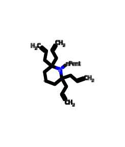 C=CCC1(CC=C)C[CH]CC(CC=C)(CC=C)N1CCCCC